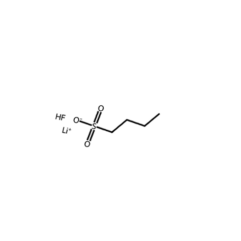 CCCCS(=O)(=O)[O-].F.[Li+]